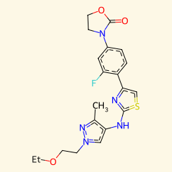 CCOCCn1cc(Nc2nc(-c3ccc(N4CCOC4=O)cc3F)cs2)c(C)n1